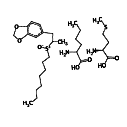 CCCCC(N)C(=O)O.CCCCCCCC[S+]([O-])C(C)Cc1ccc2c(c1)OCO2.CSCC[C@H](N)C(=O)O